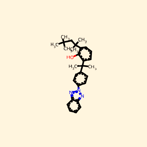 CC(C)(C)CC(C)(C)c1cccc(C(C)(C)c2ccc(-n3nc4ccccc4n3)cc2)c1O